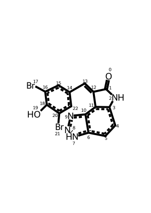 O=C1Nc2ccc3[nH]nnc3c2/C1=C\c1cc(Br)c(O)c(Br)c1